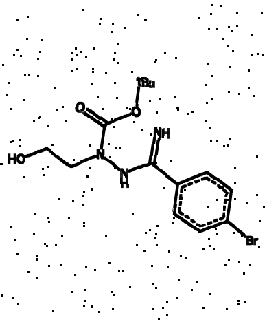 CC(C)(C)OC(=O)N(CCO)NC(=N)c1ccc(Br)cc1